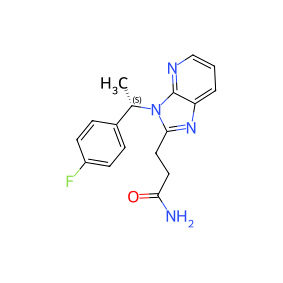 C[C@@H](c1ccc(F)cc1)n1c(CCC(N)=O)nc2cccnc21